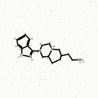 NCCC1CCC2CN(c3noc4ccccc34)CCN2C1